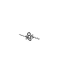 CCCCCCSc1c2ccccc2c(SCCCCCC)c2ccccc12